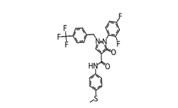 CSc1ccc(NC(=O)c2cn(Cc3ccc(C(F)(F)F)cc3)n(-c3ccc(F)cc3F)c2=O)cc1